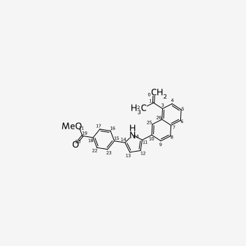 C=C(C)c1cccc2ccc(-c3ccc(-c4ccc(C(=O)OC)cc4)[nH]3)cc12